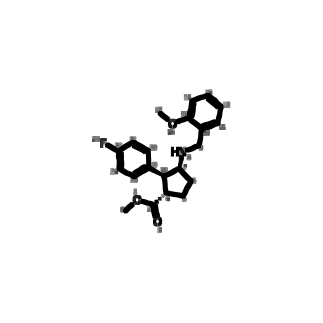 COC(=O)[C@H]1CC[C@H](NCc2ccccc2OC)[C@@H]1c1ccc(F)cc1